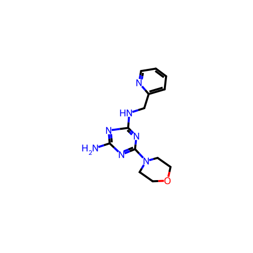 Nc1nc(NCc2ccccn2)nc(N2CCOCC2)n1